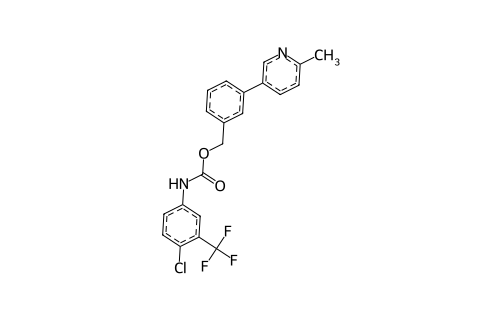 Cc1ccc(-c2cccc(COC(=O)Nc3ccc(Cl)c(C(F)(F)F)c3)c2)cn1